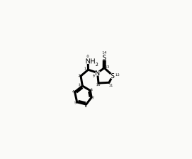 NC(Cc1ccccc1)N1CCSC1=S